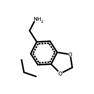 CCC.NCc1ccc2c(c1)OCO2